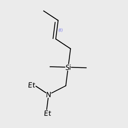 C/C=C/C[Si](C)(C)CN(CC)CC